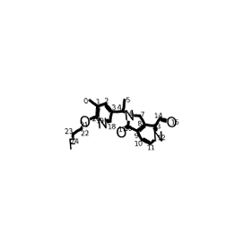 Cc1cc(C(C)N2Cc3c(ccnc3C=O)C2=O)cnc1OCCF